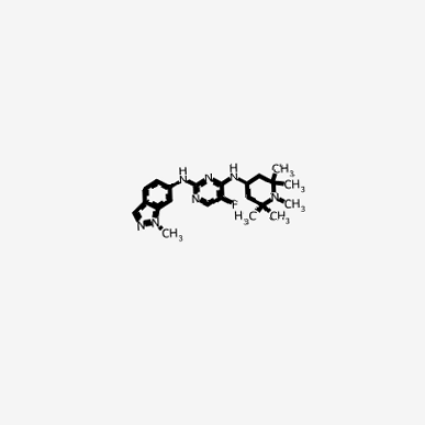 CN1C(C)(C)CC(Nc2nc(Nc3ccc4cnn(C)c4c3)ncc2F)CC1(C)C